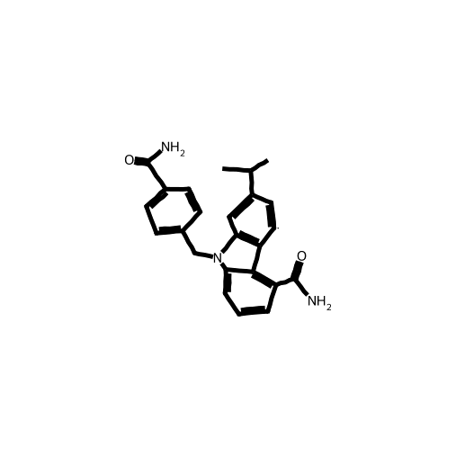 CC(C)c1c[c]c2c3c(C(N)=O)cccc3n(Cc3ccc(C(N)=O)cc3)c2c1